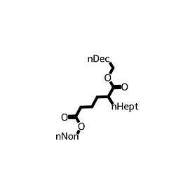 CCCCCCCCCCCOC(=O)C(CCCCCCC)CCCC(=O)OCCCCCCCCC